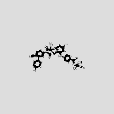 CC(C)(C)OC(=O)c1ccc(Nc2cc(F)ccc2CN2C(=O)N(c3ccc(C#N)c(-c4ccc(F)cc4)c3)C(=O)C2(C)C)cc1